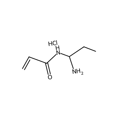 C=CC(=O)NC(N)CC.Cl